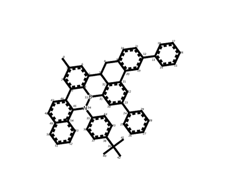 Cc1cc2c3c(c1)C1Cc4ccc(-c5ccccc5)cc4-c4cc(-c5ccccc5)cc(c41)B3N(c1ccc(C(C)(C)C)cc1)c1c-2ccc2ccccc12